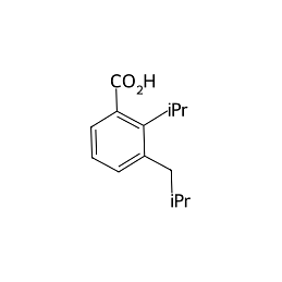 CC(C)Cc1cccc(C(=O)O)c1C(C)C